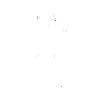 CC1(NC(=O)CF)COC(c2nc(-c3ccncc3)c(-c3ccc(F)cc3)[nH]2)OC1